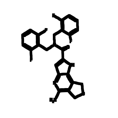 Nc1nc2cc(C(=O)N(Cc3c(F)cccc3F)Cc3c(F)cccc3F)[nH]c2c2c1COC2